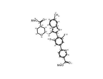 COC(=O)c1ccc(-c2cc(F)c(-c3nc4cc(C)ccn4c3C[C@H]3CN(C(=O)OC)CCO3)c(F)c2)nc1